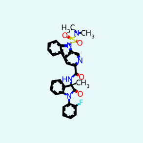 CN(C)S(=O)(=O)n1c2ccccc2c2cc(C(=O)N[C@]3(C)C(=O)N(c4ccccc4F)c4ccccc43)ncc21